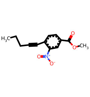 CCCC#Cc1ccc(C(=O)OC)cc1[N+](=O)[O-]